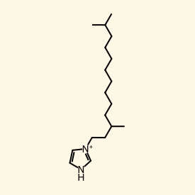 CC(C)CCCCCCCCC(C)CC[n+]1cc[nH]c1